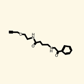 C#CCOCCNC(=O)CCCNCC(=O)c1ccccc1